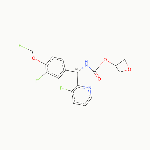 O=C(N[C@@H](c1ccc(OCF)c(F)c1)c1ncccc1F)OC1COC1